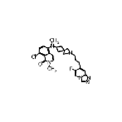 CN(c1ccc(Cl)c2c(=O)n(C)ccc12)C1CC2(C1)CN(CCCc1cc3nncn3cc1F)C2